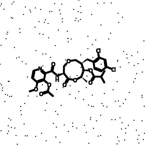 COc1ccnc(C(=O)N[C@H]2COC[C@H](Cc3ccc(Cl)cc3Cl)[C@@H](OC(=O)C(C)C)[C@H](C)OC2=O)c1OC(C)=O